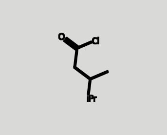 CC(C)C(C)CC(=O)Cl